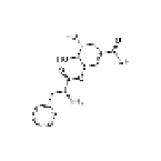 N[C@@H](Cc1ccccc1)C(=O)OC1C=C(C(=O)O)CC(O)C1O